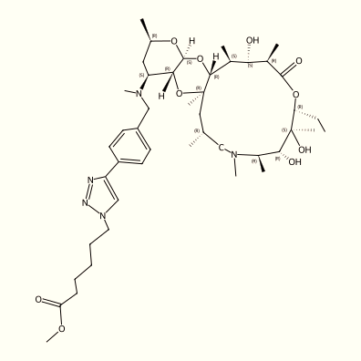 CC[C@H]1OC(=O)[C@H](C)[C@@H](O)[C@H](C)[C@H]2O[C@@H]3O[C@H](C)C[C@H](N(C)Cc4ccc(-c5cn(CCCCCC(=O)OC)nn5)cc4)[C@H]3O[C@]2(C)C[C@@H](C)CN(C)[C@H](C)[C@@H](O)[C@]1(C)O